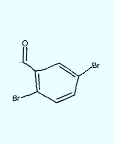 O=[C]c1cc(Br)ccc1Br